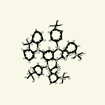 CC(C)(C)c1ccc(N2c3cc(N4c5ccccc5C(C)(C)c5ccccc54)cc4c3B(c3oc5c([Si](C)(C)C)cccc5c32)c2oc3c([Si](C)(C)C)cccc3c2N4c2ccc(C(C)(C)C)cc2)cc1